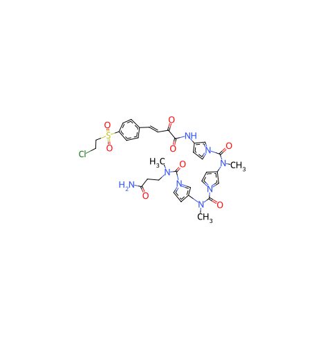 CN(CCC(N)=O)C(=O)n1ccc(N(C)C(=O)n2ccc(N(C)C(=O)n3ccc(NC(=O)C(=O)/C=C/c4ccc(S(=O)(=O)CCCl)cc4)c3)c2)c1